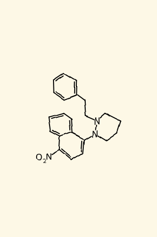 O=[N+]([O-])c1ccc(N2CCCCN2CCc2ccccc2)c2ccccc12